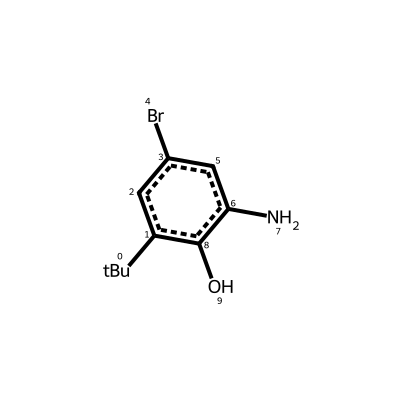 CC(C)(C)c1cc(Br)cc(N)c1O